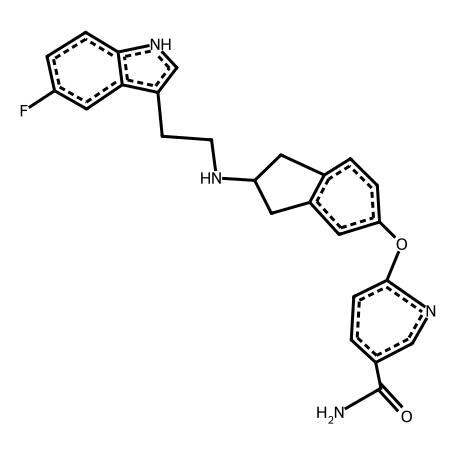 NC(=O)c1ccc(Oc2ccc3c(c2)CC(NCCc2c[nH]c4ccc(F)cc24)C3)nc1